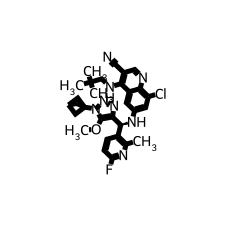 COc1c([C@@H](Nc2cc(Cl)c3ncc(C#N)c(NCC(C)(C)C)c3c2)c2ccc(F)nc2C)nnn1C12CC(C1)C2